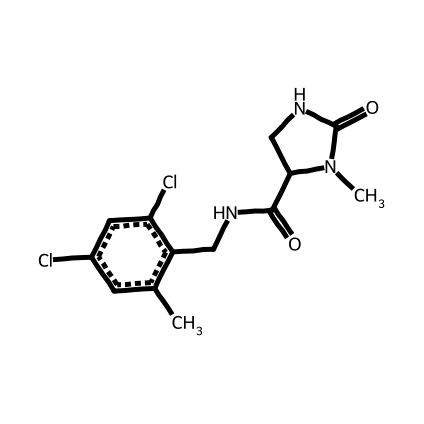 Cc1cc(Cl)cc(Cl)c1CNC(=O)C1CNC(=O)N1C